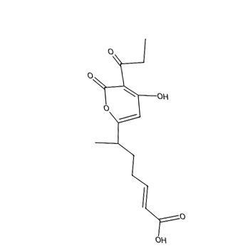 CCC(=O)c1c(O)cc(C(C)CC/C=C/C(=O)O)oc1=O